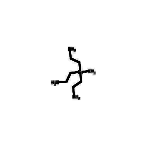 [CH3][Sn]([CH2]CN)([CH2]CN)[CH2]CN